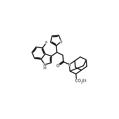 CCOC(=O)C1C2CC3CC(C2)N(C(=O)CC(c2cccs2)c2c[nH]c4cccc(F)c24)C1C3